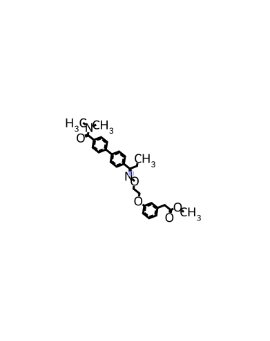 CC/C(=N\OCCOc1cccc(CC(=O)OC)c1)c1ccc(-c2ccc(C(=O)N(C)C)cc2)cc1